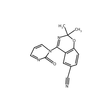 CC1(C)N=C(n2cccnc2=O)c2cc(C#N)ccc2O1